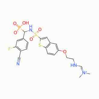 C[N+](C)=CNCCOc1ccc2sc(S(=O)(=O)NC(c3ccc(C#N)c(F)c3)P(=O)([O-])O)cc2c1